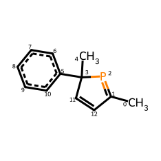 CC1=PC(C)(c2ccccc2)C=C1